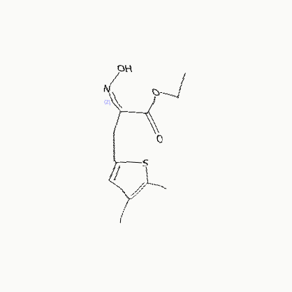 CCOC(=O)/C(Cc1cc(C)c(C)s1)=N\O